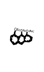 CC(=O)Oc1cccc2cc3cccc(OC(C)=O)c3c(OC(C)=O)c12